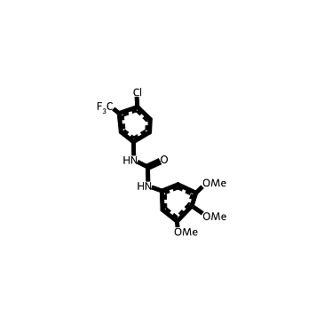 COc1cc(NC(=O)Nc2ccc(Cl)c(C(F)(F)F)c2)cc(OC)c1OC